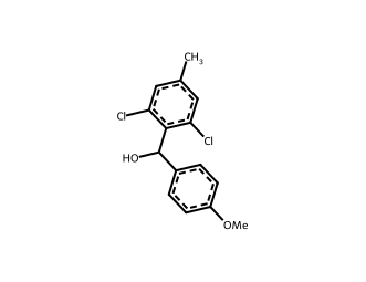 COc1ccc(C(O)c2c(Cl)cc(C)cc2Cl)cc1